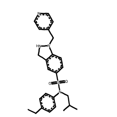 CCc1ccc(N(CC(C)C)S(=O)(=O)c2ccc3c(c2)CNN3Cc2ccncc2)cc1